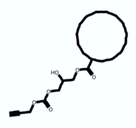 C#CCOC(=O)OCC(O)COC(=O)C1CCCCCCCCCCCCCC1